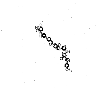 CN1CCC(n2cc(-c3nc(Nc4cncc(N5CCC6(CCN(C(=O)CC7CCN(c8ccc(NC9CCC(=O)NC9=O)cc8)CC7)CC6)C5=O)c4)ncc3Cl)cn2)CC1